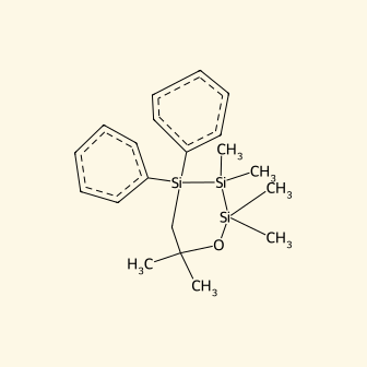 CC1(C)C[Si](c2ccccc2)(c2ccccc2)[Si](C)(C)[Si](C)(C)O1